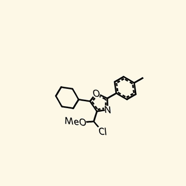 COC(Cl)c1nc(-c2ccc(C)cc2)oc1C1CCCCC1